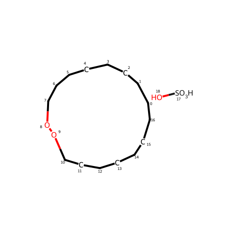 C1CCCCCCCOOCCCCCCC1.O=S(=O)(O)O